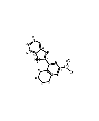 CC[S+]([O-])c1cc2c(c(-c3nc4cncnc4[nH]3)c1)CCCC2